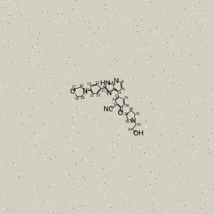 N#Cc1cc(-c2ccnc3[nH]c(-c4ccc(N5CCOCC5)cc4)nc23)ccc1O[C@@H]1CCN(CCO)C1